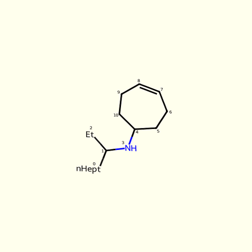 CCCCCCCC(CC)NC1CCC=CCC1